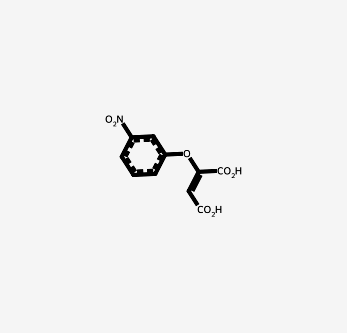 O=C(O)C=C(Oc1cccc([N+](=O)[O-])c1)C(=O)O